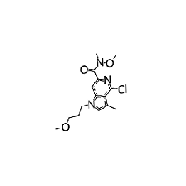 COCCCn1cc(C)c2c(Cl)nc(C(=O)N(C)OC)cc21